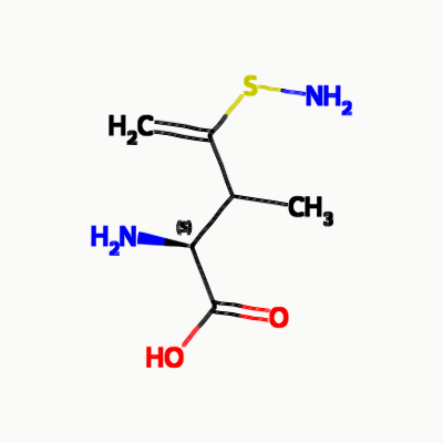 C=C(SN)C(C)[C@H](N)C(=O)O